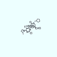 CC1CCN1c1nc(Cl)nc(NNC(=O)[C@H](CC2CCCC2)CN(O)C=O)c1F